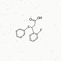 O=C(O)CC(Sc1ccccc1)c1ccccc1F